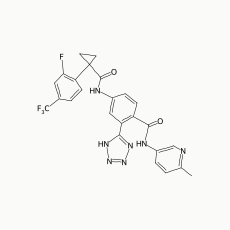 Cc1ccc(NC(=O)c2ccc(NC(=O)C3(c4ccc(C(F)(F)F)cc4F)CC3)cc2-c2nnn[nH]2)cn1